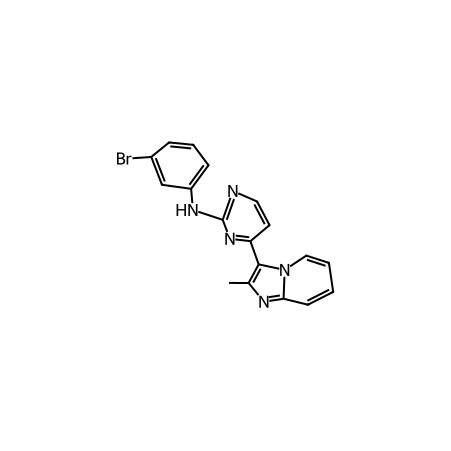 Cc1nc2ccccn2c1-c1ccnc(Nc2cccc(Br)c2)n1